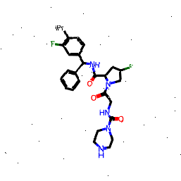 CC(C)c1ccc(C(NC(=O)C2CC(F)CN2C(=O)CNC(=O)N2CCNCC2)c2ccccc2)cc1F